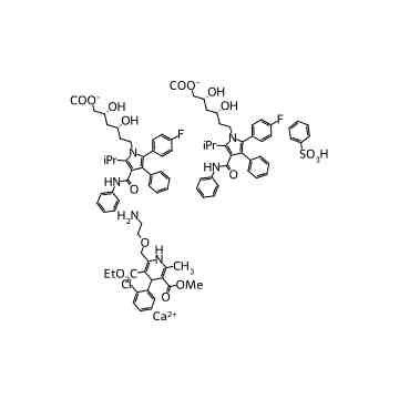 CC(C)c1c(C(=O)Nc2ccccc2)c(-c2ccccc2)c(-c2ccc(F)cc2)n1CC[C@@H](O)C[C@@H](O)CC(=O)[O-].CC(C)c1c(C(=O)Nc2ccccc2)c(-c2ccccc2)c(-c2ccc(F)cc2)n1CC[C@@H](O)C[C@@H](O)CC(=O)[O-].CCOC(=O)C1=C(COCCN)NC(C)=C(C(=O)OC)C1c1ccccc1Cl.O=S(=O)(O)c1ccccc1.[Ca+2]